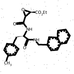 CCOC(=O)[C@@H]1OC1C(=O)N[C@@H](Cc1ccc(C)cc1)C(=O)NCc1ccc2ccccc2c1